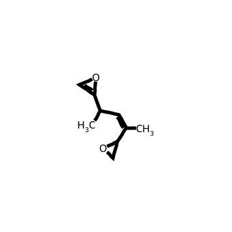 CC(=CC(C)C1=CO1)C1CO1